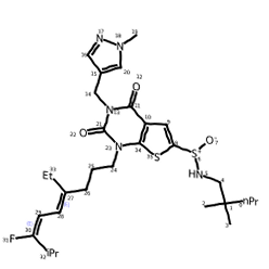 CCCC(C)(C)CN[S+]([O-])c1cc2c(=O)n(Cc3cnn(C)c3)c(=O)n(CCC/C(=C/C=C(/F)C(C)C)CC)c2s1